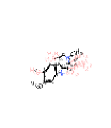 Bc1cc2c3c([nH]c2cc1OC)C(B)(B)C(B)(B)N(C)CC3(B)B